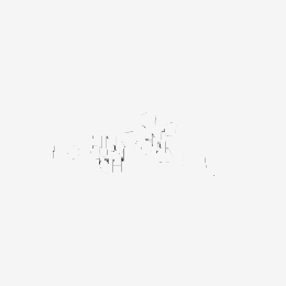 C=Cc1cccc(N2C(=O)c3ccccc3C2(O)c2ccc3[nH]c(N(C)C(=O)O)nc3c2)c1